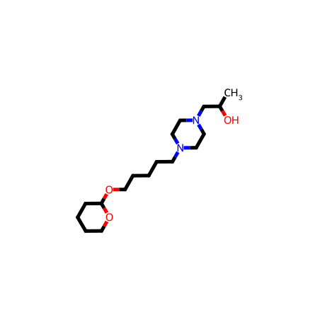 CC(O)CN1CCN(CCCCCOC2CCCCO2)CC1